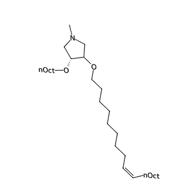 CCCCCCCC/C=C\CCCCCCCCOC1CN(C)C[C@H]1OCCCCCCCC